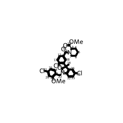 COC(=O)[C@H]1CCCCN1C(=O)c1ccc(Cl)c(C2(C)C(=O)N(Cc3ccc(Cl)cc3OC)c3ccc(Cl)cc32)c1